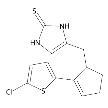 S=c1[nH]cc(CC2CCC=C2c2ccc(Cl)s2)[nH]1